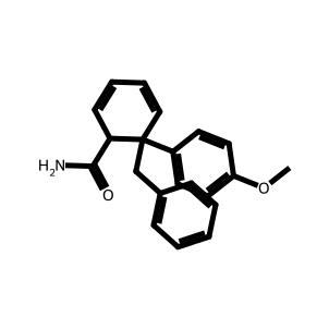 COc1ccc(C2(Cc3ccccc3)C=CC=CC2C(N)=O)cc1